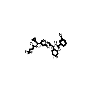 N#Cc1cccc(C(=O)N[C@H](c2cn3ncc(C(NC(=O)CCC(F)(F)F)C4CC4)cc3n2)C2CCC(F)(F)CC2)c1